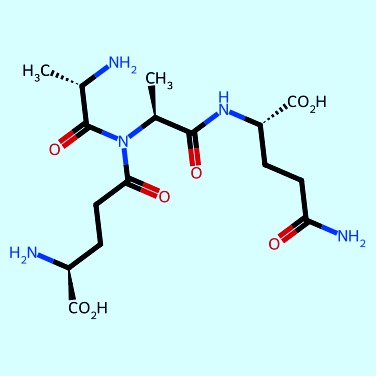 C[C@H](N)C(=O)N(C(=O)CC[C@H](N)C(=O)O)[C@@H](C)C(=O)N[C@@H](CCC(N)=O)C(=O)O